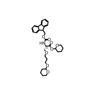 O=C(N[C@@H](COCCCOC1CCCCO1)C(=O)OC1CCCCO1)OCC1c2ccccc2-c2ccccc21